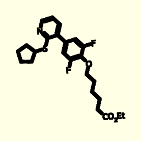 CCOC(=O)CCCCCOc1c(F)cc(-c2cccnc2SC2CCCC2)cc1F